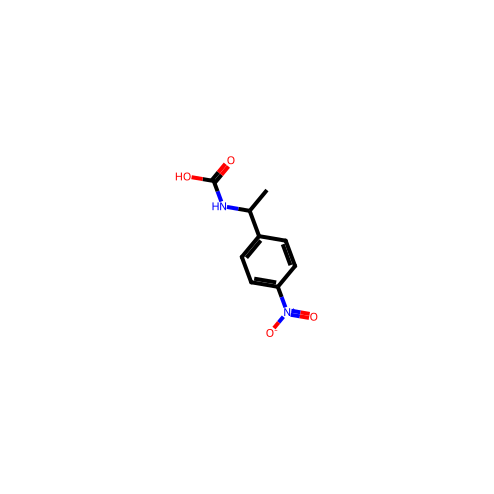 CC(NC(=O)O)c1ccc([N+](=O)[O-])cc1